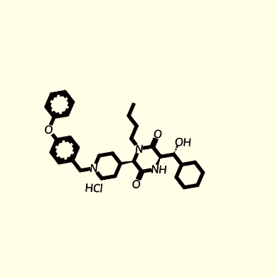 CCCCN1C(=O)[C@@H]([C@H](O)C2CCCCC2)NC(=O)[C@H]1C1CCN(Cc2ccc(Oc3ccccc3)cc2)CC1.Cl